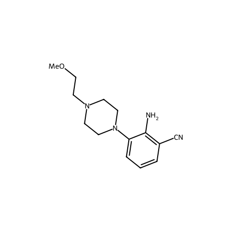 COCCN1CCN(c2cccc(C#N)c2N)CC1